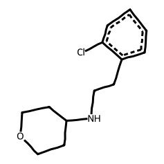 Clc1ccccc1CCNC1CCOCC1